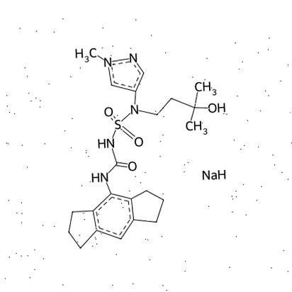 Cn1cc(N(CCC(C)(C)O)S(=O)(=O)NC(=O)Nc2c3c(cc4c2CCC4)CCC3)cn1.[NaH]